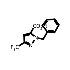 CCOC(=O)c1cc(C(F)(F)F)nn1Cc1ccccc1